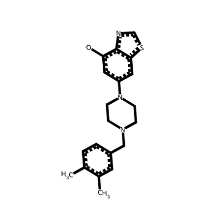 Cc1ccc(CN2CCN(c3cc([O])c4ncsc4c3)CC2)cc1C